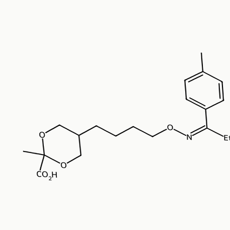 CC/C(=N/OCCCCC1COC(C)(C(=O)O)OC1)c1ccc(C)cc1